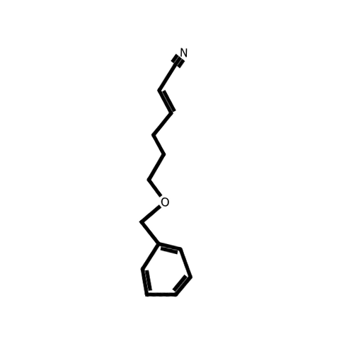 N#CC=CCCCOCc1ccccc1